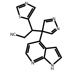 N#CCC(c1cncs1)C1(c2ccnc3[nH]ccc23)C=NN=C1